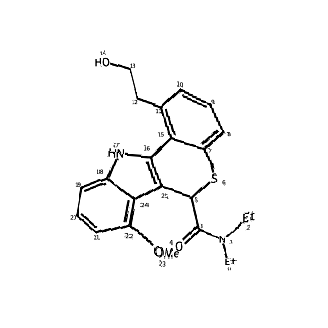 CCN(CC)C(=O)C1Sc2cccc(CCO)c2-c2[nH]c3cccc(OC)c3c21